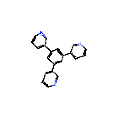 c1cncc(-c2cc(-c3cccnc3)cc(-c3cccnc3)c2)c1